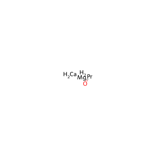 [CaH2].[MgH2].[O]=[Pr]